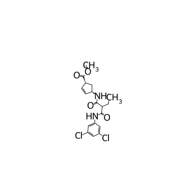 CCC(C(=O)Nc1cc(Cl)cc(Cl)c1)C(=O)N[C@H]1C=C[C@@H](C(=O)OC)C1